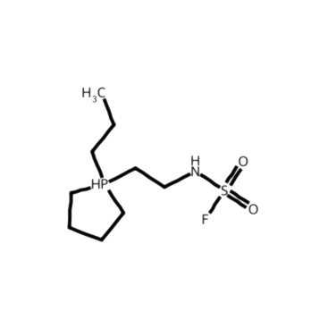 CCC[PH]1(CCNS(=O)(=O)F)CCCC1